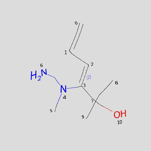 C=C/C=C(\N(C)N)C(C)(C)O